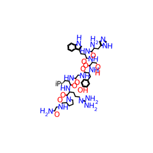 CC(C)CC(NC(=O)CNC(=O)C(Cc1ccc(O)cc1)NC(=O)C(CO)NC(=O)C(Cc1c[nH]c2ccccc12)NC(=O)C(N)Cc1cnc[nH]1)C(=O)NC(CCCN=C(N)N)C(=O)N1CCCC1C(=O)NCC(N)=O